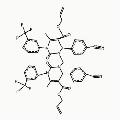 C=CCOC(=O)C1=C(C)N(c2cccc(C(F)(F)F)c2)C(=O)N(CN2C(=O)N(c3cccc(C(F)(F)F)c3)C(C)=C(C(=O)OCC=C)[C@H]2c2ccc(C#N)cc2)[C@@H]1c1ccc(C#N)cc1